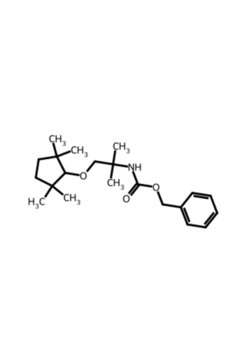 CC(C)(COC1C(C)(C)CCC1(C)C)NC(=O)OCc1ccccc1